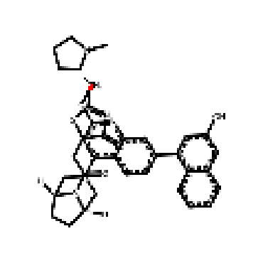 CN1CCC[C@H]1COc1nc(N2C[C@H]3CC[C@@H](C2)N3C(=O)CC2SC(N)=NC2=O)c2ccc(-c3cc(O)cc4ccccc34)cc2n1